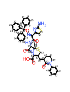 Nc1nc(C(=NOC(c2ccccc2)(c2ccccc2)c2ccccc2)C(=O)N[C@@H]2C(=O)N3C(C(=O)O)=C(C=C4CCCN(c5ccccc5)C4=O)CS[C@H]23)cs1